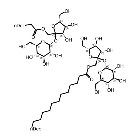 CCCCCCCCCCCC(=O)OC[C@@]1(O[C@H]2O[C@H](CO)[C@@H](O)[C@H](O)[C@H]2O)O[C@H](CO)[C@@H](O)[C@@H]1O.CCCCCCCCCCCCCCCCCCCCCC(=O)OC[C@@]1(O[C@H]2O[C@H](CO)[C@@H](O)[C@H](O)[C@H]2O)O[C@H](CO)[C@@H](O)[C@@H]1O